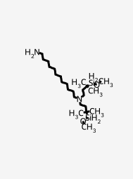 CO[SiH2]C(C)(C)CCN(CCCCCCCCCCCCN)CCC(C)(C)[SiH2]OC